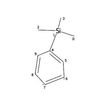 C[Si](C)(C)c1c[c][c]cc1